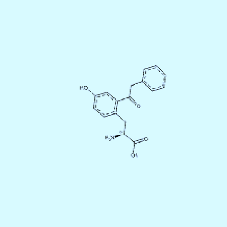 N[C@@H](Cc1ccc(O)cc1C(=O)Cc1ccccc1)C(=O)O